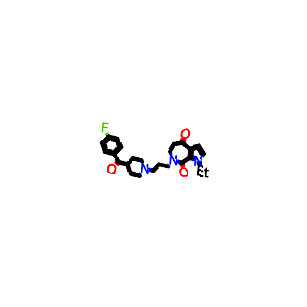 CCn1ccc2c1C(=O)N(CCCN1CCC(C(=O)c3ccc(F)cc3)CC1)CCC2=O